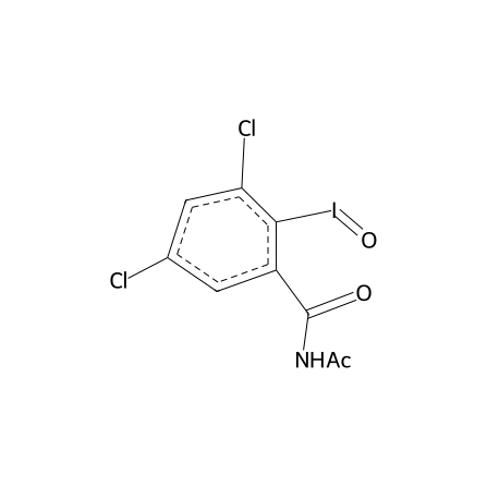 CC(=O)NC(=O)c1cc(Cl)cc(Cl)c1I=O